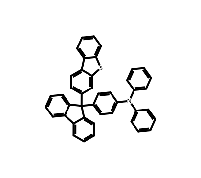 c1ccc(N(c2ccccc2)c2ccc(C3(c4ccc5c(c4)sc4ccccc45)c4ccccc4-c4ccccc43)cc2)cc1